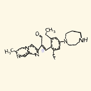 CCc1cc(N2CCCNCC2)cc(F)c1/C=C(\C=O)c1cn2cc(C)ncc2n1